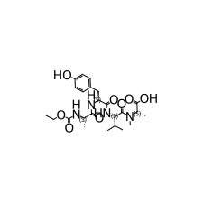 CCOC(=O)N[C@@H](C)C(=O)N[C@@H](Cc1ccc(O)cc1)C(=O)N[C@H](C(=O)N(C)[C@@H](C)C(=O)O)C(C)C